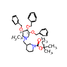 C[C@@H]1[C@@H](OCc2ccccc2)[C@H](OCc2ccccc2)[C@@H](OCc2ccccc2)CN1CC1CCCN(C(=O)OC(C)(C)C)C1